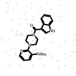 CNc1cccnc1N1CCN(C(=O)c2c[nH]c3ccccc23)CC1